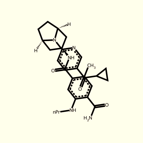 CCCNc1cc(C(=O)N[C@H]2C[C@H]3CC[C@@H](C2)N3c2ccc(C(=O)C3CC3)cn2)c(C)cc1C(N)=O